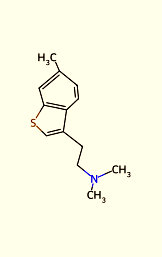 Cc1ccc2c(CCN(C)C)csc2c1